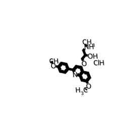 CNCC(O)COc1cc(-c2ccc(OC)cc2)nc2cc(OC)ccc12.Cl